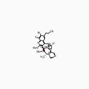 CSc1nc2c(F)c(Br)c(CCC#N)cc2c(N[C@H]2[C@@H]3C[C@H]2N(C(=O)OC(C)(C)C)C3)c1C#C[C@@H](C)n1ccncc1=O